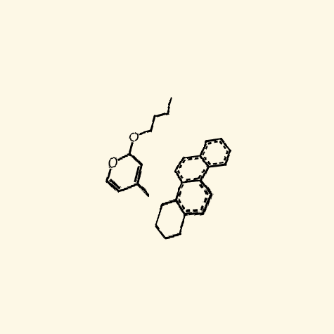 CCCCOC1C=C(C)C=CO1.c1ccc2c(c1)ccc1c3c(ccc12)CCCC3